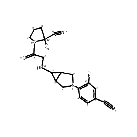 N#Cc1ccc(N2CC3C(C2)C3NCC(=O)N2CCCC2(F)C#N)c(F)c1